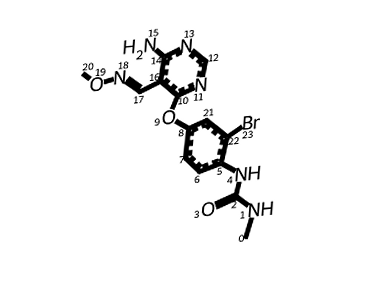 CNC(=O)Nc1ccc(Oc2ncnc(N)c2C=NOC)cc1Br